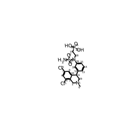 CN1Cc2c(Cl)cc(Cl)cc2C(c2cccc(N(CCP(=O)(O)O)S(N)(=O)=O)c2)C1